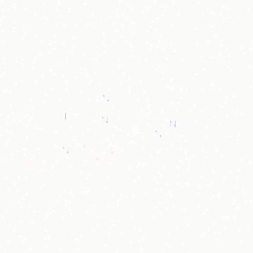 CCC(C(=O)N1CCOCC1)n1nc(C)c2c(C)n(-c3ccccc3)nc2c1=O